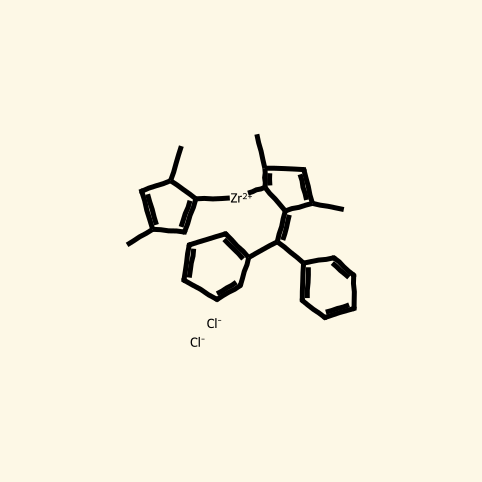 CC1=CC(C)[C]([Zr+2][C]2=C(C)C=C(C)C2=C(c2ccccc2)c2ccccc2)=C1.[Cl-].[Cl-]